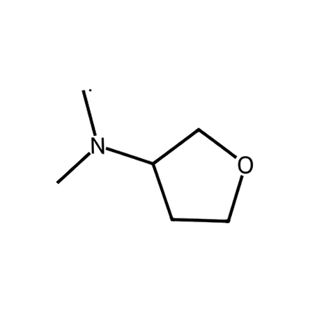 [CH2]N(C)C1CCOC1